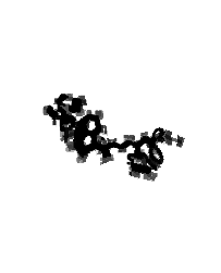 CC[Si](CC)(CC)O[C@@H]1CCC[C@@]2(C)C(C(C)CCC[C@@H](CC(=O)O)c3nccs3)CC[C@H]12